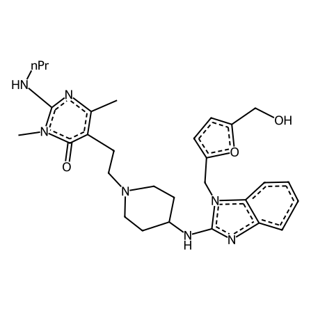 CCCNc1nc(C)c(CCN2CCC(Nc3nc4ccccc4n3Cc3ccc(CO)o3)CC2)c(=O)n1C